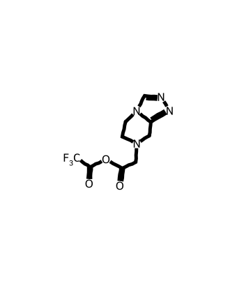 O=C(CN1CCn2cnnc2C1)OC(=O)C(F)(F)F